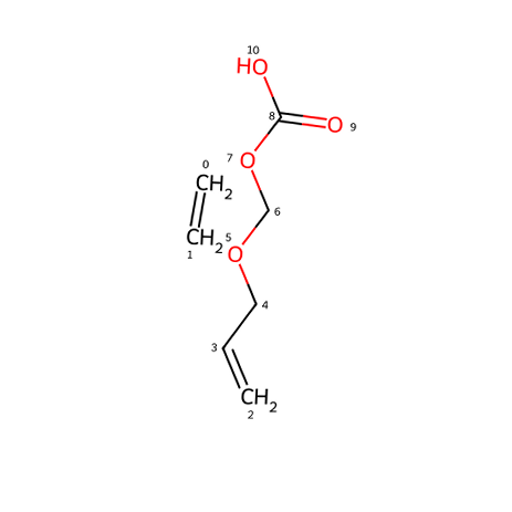 C=C.C=CCOCOC(=O)O